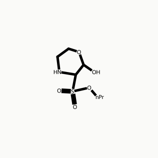 CCCOS(=O)(=O)C1NCCOC1O